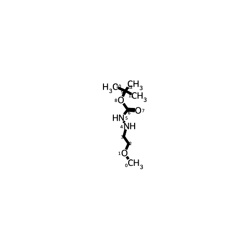 COCCNNC(=O)OC(C)(C)C